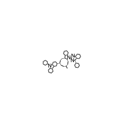 C=C1/C=C\C(c2ccc3c(c2)c2ccccc2n3-c2ccccc2)=C/Cc2c(n(-c3nc(-c4ccccc4)c4ccccc4n3)c3ccccc23)/C=C\1